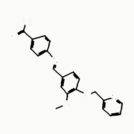 COc1cc(C=Nc2ccc(C(=O)O)cc2)ccc1OCc1ccccn1